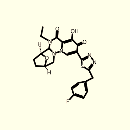 CCN1C(=O)c2c(O)c(=O)c(-c3nnc(Cc4ccc(F)cc4)s3)cn2N2C[C@H]3CC[C@H](O3)C12